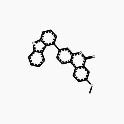 COc1ccc2c(c1)c(=O)oc1cc(-c3cccc4oc5ccccc5c34)ccc12